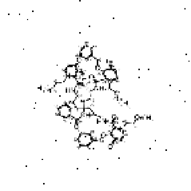 COCCn1ccc(=O)c(C)c1C(=O)NCCCC(CCCNC(=O)c1c(OCc2ccccc2)c(=O)ccn1CCOC)(CCCNC(=O)c1c(OCc2ccccc2)c(=O)ccn1CCOC)NC(=O)c1ccccc1